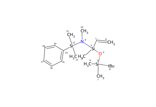 C=C[Si](C)(O[Si](C)(C)C(C)(C)C)N(C)[Si](C)(C)c1ccccc1